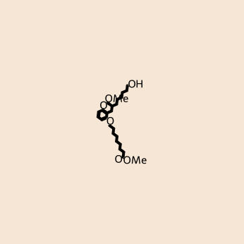 COC(=O)CCCCCCCCOc1ccccc1CC(CCCCCCO)C(=O)OC